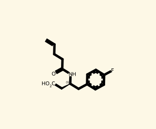 C=CCCC(=O)N[C@H](CC(=O)O)Cc1ccc(F)cc1